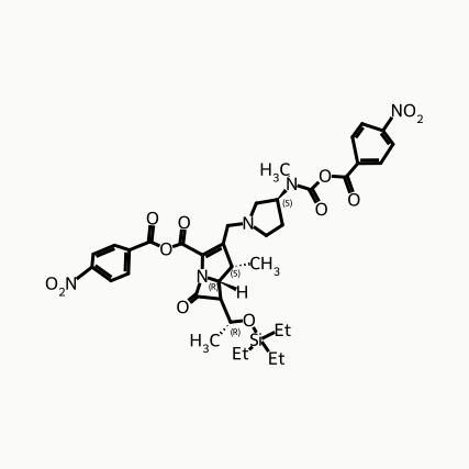 CC[Si](CC)(CC)O[C@H](C)C1C(=O)N2C(C(=O)OC(=O)c3ccc([N+](=O)[O-])cc3)=C(CN3CC[C@H](N(C)C(=O)OC(=O)c4ccc([N+](=O)[O-])cc4)C3)[C@H](C)[C@H]12